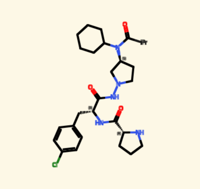 CC(C)C(=O)N(C1CCCCC1)[C@H]1CCN(NC(=O)[C@@H](Cc2ccc(Cl)cc2)NC(=O)[C@H]2CCCN2)C1